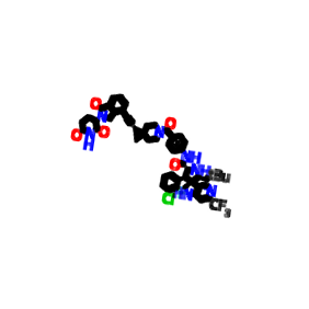 CC(C)(C)C[C@@H]1N[C@@H](C(=O)NC23CCC(C(=O)N4CCC5(CC4)C[C@@H]5C#Cc4cccc5c4CN(C4CCC(=O)NC4=O)C5=O)(CC2)CC3)[C@H](c2cccc(Cl)c2F)[C@]12CNc1cc(C(F)(F)F)ncc12